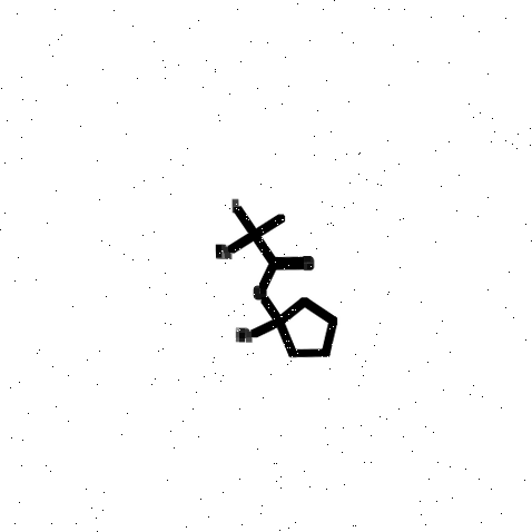 CCC(C)(I)C(=O)OC1(C(C)C)CCCC1